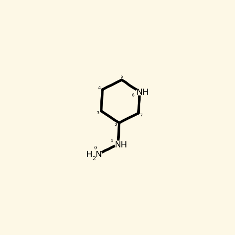 NNC1CCCNC1